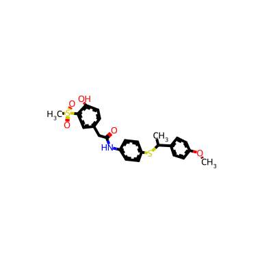 COc1ccc(C(C)Sc2ccc(NC(=O)Cc3ccc(O)c(S(C)(=O)=O)c3)cc2)cc1